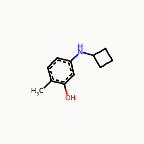 Cc1ccc(NC2CCC2)cc1O